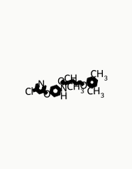 Cc1ccc(C)c(OCCCC(C)(C)C(=O)N[C@H]2CC[C@H](Oc3cncc(Cl)c3)CC2)c1